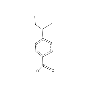 CC[C](C)c1ccc([N+](=O)[O-])cc1